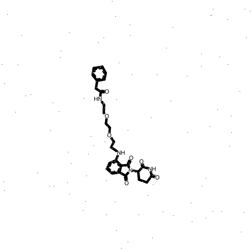 O=C(Cc1ccccc1)NCCOCCOCCNc1cccc2c1C(=O)N(C1CCC(=O)NC1=O)C2=O